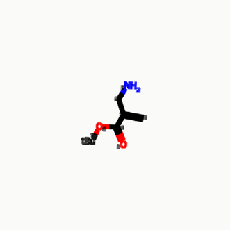 C=C(CN)C(=O)OC(C)(C)C